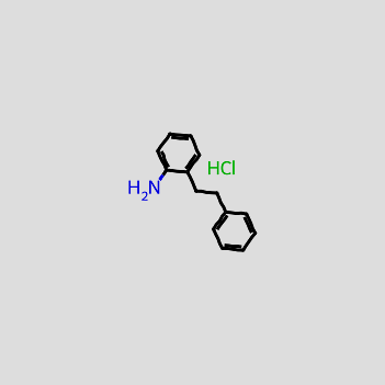 Cl.Nc1ccccc1CCc1ccccc1